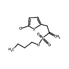 C=C(Cc1ccc(Cl)s1)S(=O)(=O)OCCCC